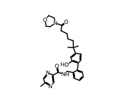 Cc1cnc(C(=O)NCc2ccccc2-c2ccc(C(C)(C)CCCCC(=O)N3CCOCC3)cc2O)cn1